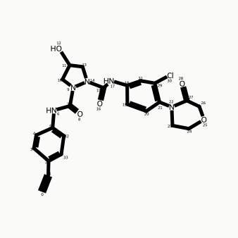 C#Cc1ccc(NC(=O)N2CC(O)CN2C(=O)Nc2ccc(N3CCOCC3=O)c(Cl)c2)cc1